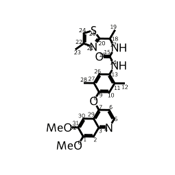 COc1cc2nccc(Oc3cc(C)c(NC(=O)NC(C)c4nc(C)cs4)cc3C)c2cc1OC